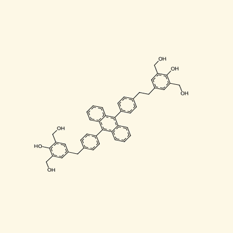 OCc1cc(CCc2ccc(-c3c4ccccc4c(-c4ccc(Cc5cc(CO)c(O)c(CO)c5)cc4)c4ccccc34)cc2)cc(CO)c1O